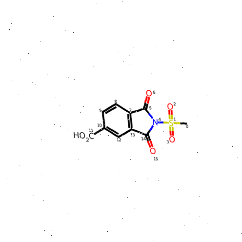 CS(=O)(=O)N1C(=O)c2ccc(C(=O)O)cc2C1=O